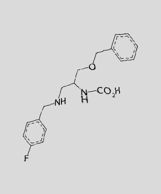 O=C(O)NC(CNCc1ccc(F)cc1)COCc1ccccc1